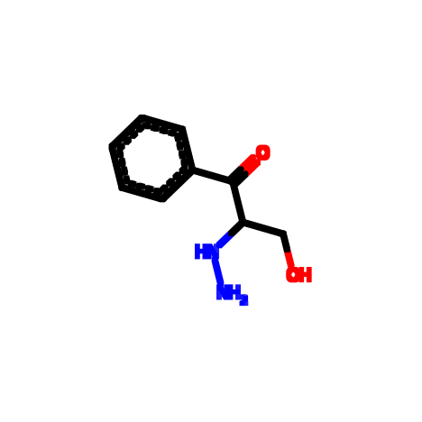 NNC(CO)C(=O)c1ccccc1